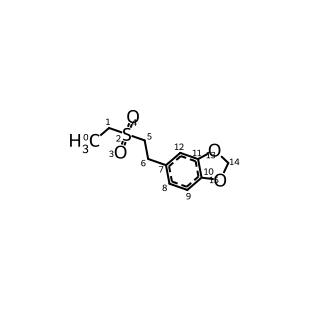 CCS(=O)(=O)CCc1ccc2c(c1)OCO2